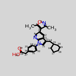 Cc1noc(C)c1-c1cnc2c(c1)c(CC1CCCCC1)cn2-c1ccc(CC(=O)O)cc1